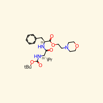 CC(C)[C@H](NC(=O)OC(C)(C)C)C(=O)N[C@@H](Cc1ccccc1)C(=O)OCCN1CCOCC1